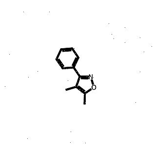 Cc1onc(-c2c[c]ccc2)c1C